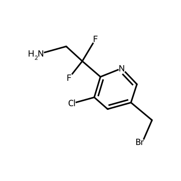 NCC(F)(F)c1ncc(CBr)cc1Cl